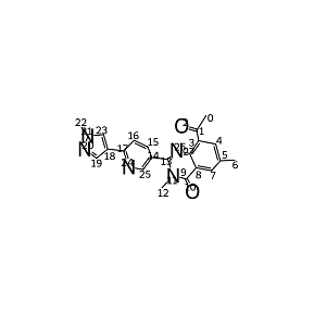 CC(=O)c1cc(C)cc2c(=O)n(C)c(-c3ccc(-c4cnn(C)c4)nc3)nc12